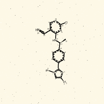 CC(C)n1cc(C(F)(F)F)nc1-c1ccc([C@H](C)Nc2nc(Cl)ncc2C=N)cc1